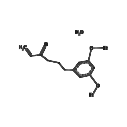 C=CC(=O)CCCc1cc(OCC)cc(OCC)c1.O